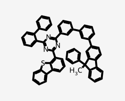 CC1(c2ccccc2)c2ccccc2-c2ccc(-c3cccc(-c4cccc(-c5nc(-c6ccccc6-c6ccccc6)nc(-c6cccc7c6sc6ccccc67)n5)c4)c3)cc21